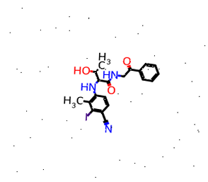 Cc1c(NC(C(=O)NCC(=O)c2ccccc2)[C@H](C)O)ccc(C#N)c1I